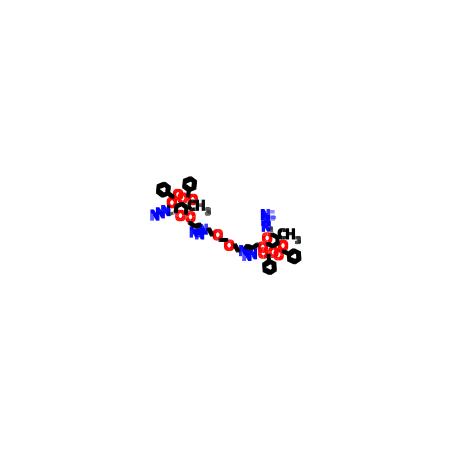 C[C@@H]1[C@@H](OCc2cn(CCOCCOCCn3cc(CO[C@H]4O[C@H](CN=[N+]=[N-])[C@@H](C)[C@H](OC(=O)c5ccccc5)[C@@H]4OC(=O)c4ccccc4)nn3)nn2)O[C@H](CN=[N+]=[N-])[C@@H](OC(=O)c2ccccc2)[C@@H]1OC(=O)c1ccccc1